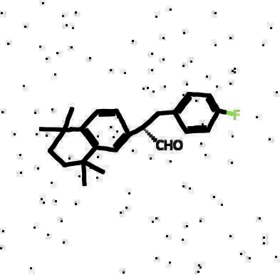 CC1(C)CCC(C)(C)c2cc([C@@H](C=O)Cc3ccc(F)cc3)ccc21